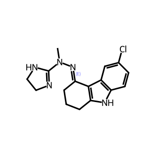 CN(/N=C1\CCCc2[nH]c3ccc(Cl)cc3c21)C1=NCCN1